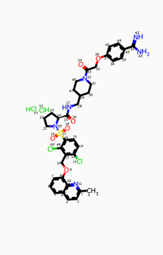 Cc1ccc2cccc(OCc3c(Cl)ccc(S(=O)(=O)N4CCC[C@H]4C(=O)NCC4CCN(C(=O)COc5ccc(C(=N)N)cc5)CC4)c3Cl)c2n1.Cl.Cl